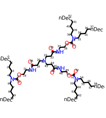 CCCCCCCCCCCCCCN(CCCCCCCCCCCCCC)C(=O)OCCNC(=O)CCN(CCC(=O)NCCOC(=O)N(CCCCCCCCCCCCCC)CCCCCCCCCCCCCC)CCC(=O)NCCOC(=O)N(CCCCCCCCCCCCCC)CCCCCCCCCCCCCC